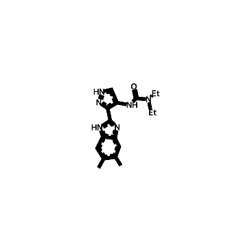 CCN(CC)C(=O)Nc1c[nH]nc1-c1nc2cc(C)c(C)cc2[nH]1